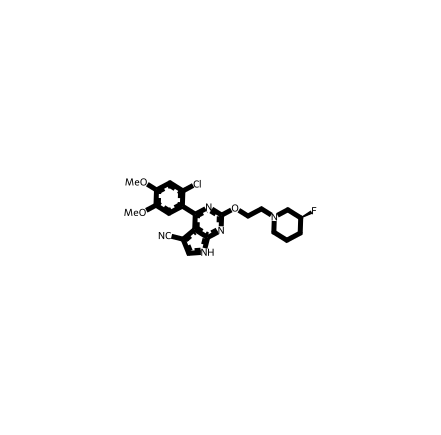 COc1cc(Cl)c(-c2nc(OCCN3CCC[C@H](F)C3)nc3[nH]cc(C#N)c23)cc1OC